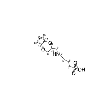 O=S(=O)(O)CCCCNCC1COc2cscc2O1